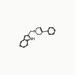 C1=C(c2ccccc2)CCN(Cc2cc3ccccc3[nH]2)C1